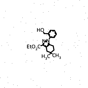 CCOC(=O)c1nn(-c2ccccc2CO)c2c1CC(C)(C)CC2